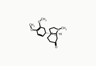 COC1=C(OC)CC([C@@]23CCC(=O)C[C@@H]2N(C)CC3)C=C1